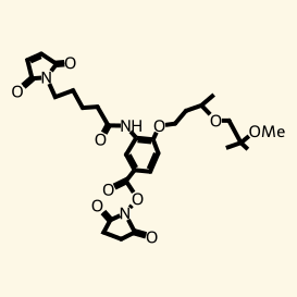 COC(C)(C)COC(C)CCOc1ccc(C(=O)ON2C(=O)CCC2=O)cc1NC(=O)CCCCN1C(=O)C=CC1=O